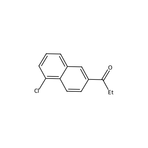 CCC(=O)c1ccc2c(Cl)cccc2c1